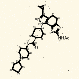 CC(=O)Nc1nc2c(s1)-c1c(c(C3CC3)nn1[C@H]1CC[C@H](C(=O)NC3CCN(C4CCCC4)CC3)CC1)CC2